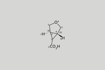 O=C(O)C1[C@H]2COC[C@H]12